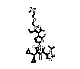 CCc1c(-c2ccc(NC(=O)C(NC(=O)c3cnnn3C(C)C)C(C3CC3)C3CC3)nc2F)c(C)nn1COCCS(C)(C)C